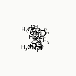 Cn1cc(S(=O)(=O)C(C)(C)C2CCCCN2C(=O)OC(C)(C)C)c(C(F)(F)F)n1